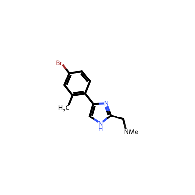 CNCc1nc(-c2ccc(Br)cc2C)c[nH]1